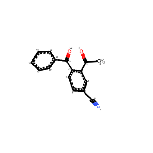 CC(=O)c1cc(C#N)ccc1C(=O)c1ccccc1